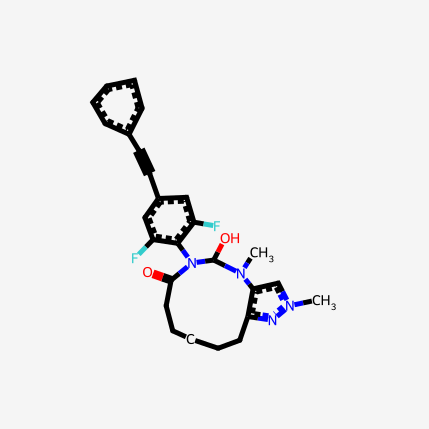 CN1c2cn(C)nc2CCCCCC(=O)N(c2c(F)cc(C#Cc3ccccc3)cc2F)C1O